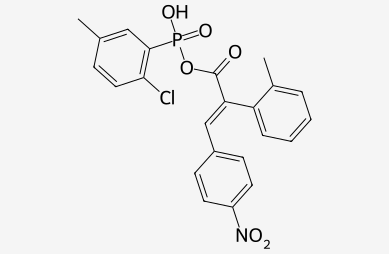 Cc1ccc(Cl)c(P(=O)(O)OC(=O)/C(=C/c2ccc([N+](=O)[O-])cc2)c2ccccc2C)c1